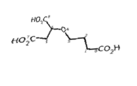 O=C(O)CCCOC(CC(=O)O)C(=O)O